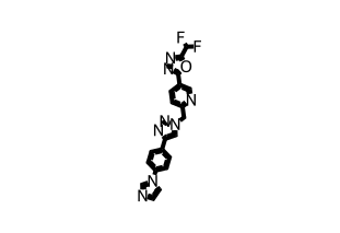 FC(F)c1nnc(-c2ccc(Cn3cc(-c4ccc(-n5ccnc5)cc4)nn3)nc2)o1